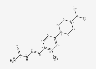 CCC(CC)N1CCN(c2ccc(C=NNC(N)=S)c(C(F)(F)F)c2)CC1